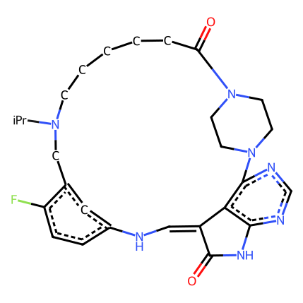 CC(C)N1CCCCCC(=O)N2CCN(CC2)c2ncnc3c2/C(=C/Nc2ccc(F)c(c2)C1)C(=O)N3